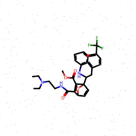 CCN(CC)CCNC(=O)C1=C(C(=O)OC)C2(C(Cc3ccc(C(F)(F)F)cc3)Nc3ccccc3)C=CC1O2